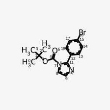 CC(C)(C)OC(=O)n1ccnc1-c1ccc(Br)cc1